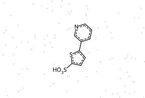 O=S(=O)(O)c1ccc(-c2cccnc2)s1